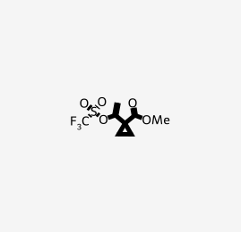 C=C(OS(=O)(=O)C(F)(F)F)C1(C(=O)OC)CC1